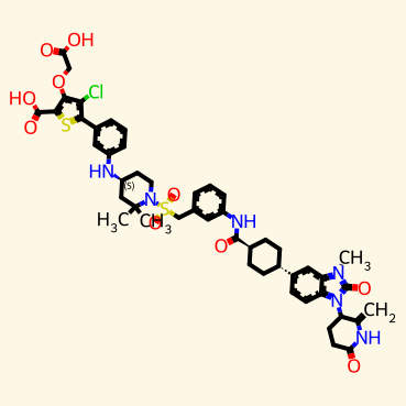 C=C1NC(=O)CCC1n1c(=O)n(C)c2cc([C@H]3CC[C@H](C(=O)Nc4cccc(CS(=O)(=O)N5CC[C@H](Nc6cccc(-c7sc(C(=O)O)c(OCC(=O)O)c7Cl)c6)CC5(C)C)c4)CC3)ccc21